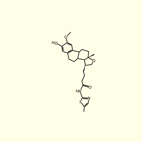 COc1cc2c(cc1O)CCC1C2CC[C@]2(C)OC[C@@H](CCCC(=O)Nc3ncc(C)s3)C12